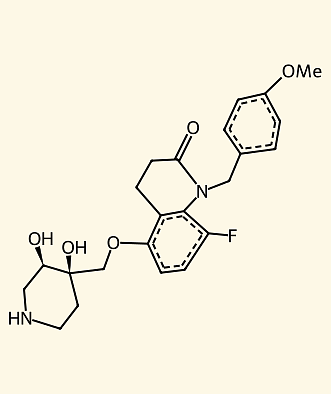 COc1ccc(CN2C(=O)CCc3c(OC[C@]4(O)CCNC[C@H]4O)ccc(F)c32)cc1